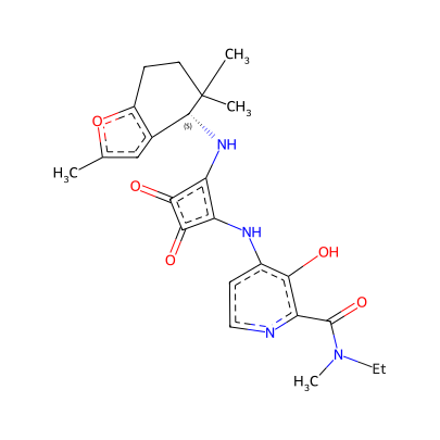 CCN(C)C(=O)c1nccc(Nc2c(N[C@@H]3c4cc(C)oc4CCC3(C)C)c(=O)c2=O)c1O